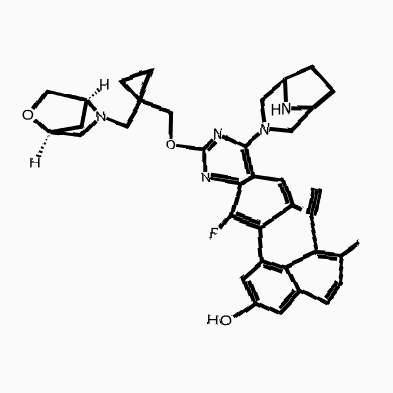 C#Cc1c(C)ccc2cc(O)cc(-c3c(C)cc4c(N5CC6CCC(C5)N6)nc(OCC5(CN6C[C@@H]7C[C@H]6CO7)CC5)nc4c3F)c12